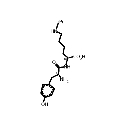 CC(C)NCCCC[C@H](NC(=O)[C@@H](N)Cc1ccc(O)cc1)C(=O)O